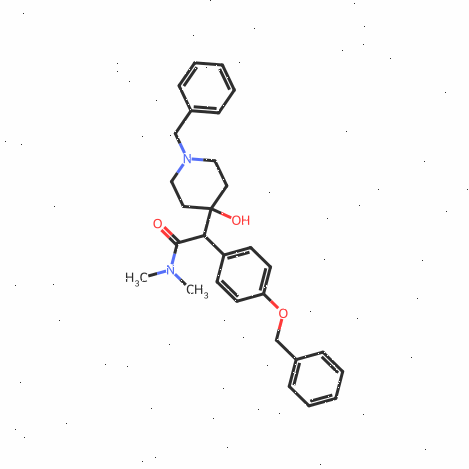 CN(C)C(=O)C(c1ccc(OCc2ccccc2)cc1)C1(O)CCN(Cc2ccccc2)CC1